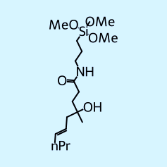 CCC/C=C/CC(C)(O)CCC(=O)NCCC[Si](OC)(OC)OC